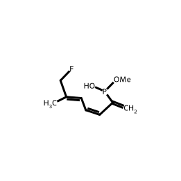 C=C(/C=C\C=C(/C)CF)P(O)OC